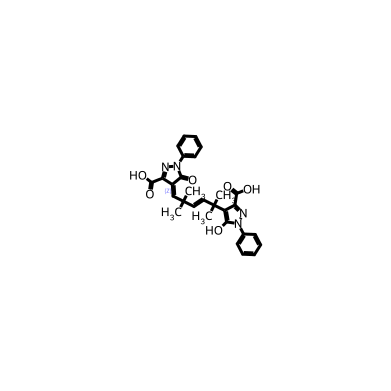 CC(C)(C=CC(C)(C)c1c(C(=O)O)nn(-c2ccccc2)c1O)/C=C1\C(=O)N(c2ccccc2)N=C1C(=O)O